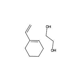 C=CC1=CCCCC1.OCCO